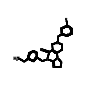 NCc1cccc(CN2C(=O)C3=C(CCN(Cc4cccc(F)c4)C3)N3CCN=C23)c1